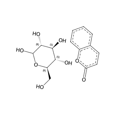 O=c1ccc2ccccc2o1.OC[C@H]1OC(O)[C@H](O)[C@@H](O)[C@@H]1O